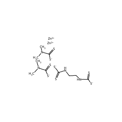 CN(C)C(=S)[S-].CN(C)C(=S)[S-].S=C([S-])NCCNC(=S)[S-].[Zn+2].[Zn+2]